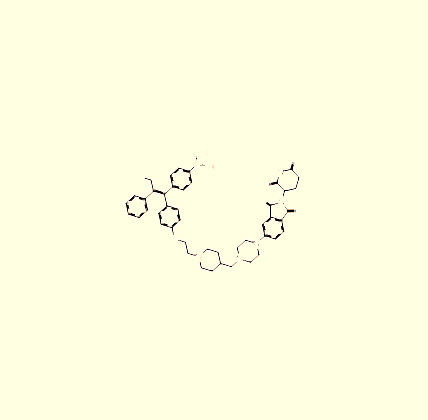 CC/C(=C(/c1ccc(OCCN2CCC(CN3CCN(c4ccc5c(c4)C(=O)N(C4CCC(=O)NC4=O)C5=O)CC3)CC2)cc1)c1ccc(B(O)O)cc1)c1ccccc1